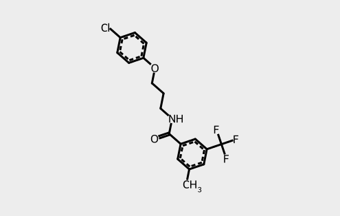 Cc1cc(C(=O)NCCCOc2ccc(Cl)cc2)cc(C(F)(F)F)c1